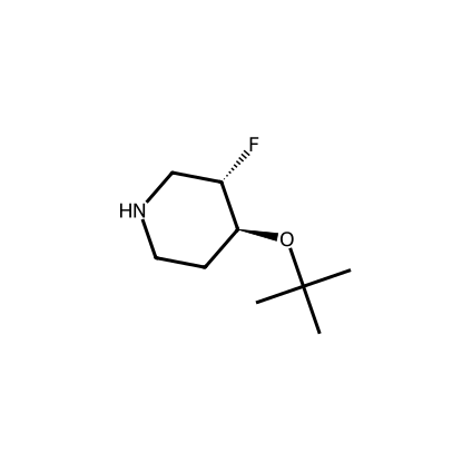 CC(C)(C)O[C@H]1CCNC[C@@H]1F